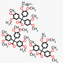 COc1ccc(C(C(=O)[O-])(c2ccc(OC)c(OC)c2)c2ccc(OC)c(OC)c2)cc1OC.COc1ccc(C(C(=O)[O-])(c2ccc(OC)c(OC)c2)c2ccc(OC)c(OC)c2)cc1OC.COc1ccc(C(C(=O)[O-])(c2ccc(OC)c(OC)c2)c2ccc(OC)c(OC)c2)cc1OC.[Bi+3]